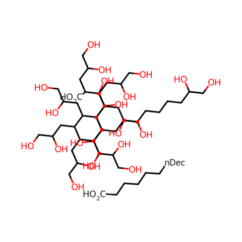 CCCCCCCCCCCCCCCC(=O)O.O=C(O)C(CC(O)CO)C(CC(O)CO)C(CC(O)CO)C(CC(O)CO)C(CC(O)CO)C(CC(O)CO)C(CC(O)CO)C(CC(O)CO)C(CCCCCCCC(O)CO)CC(O)CO